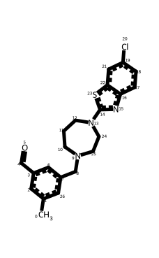 Cc1cc(C=O)cc(CN2CCCN(c3nc4ccc(Cl)cc4s3)CC2)c1